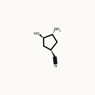 N#C[C@@H]1C[C@@H](N)[C@H](O)C1